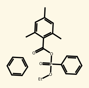 CCOP(=O)(OC(=O)c1c(C)cc(C)cc1C)c1ccccc1.c1ccccc1